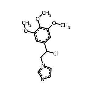 COc1cc(C(Cl)Cn2ccnc2)cc(OC)c1OC